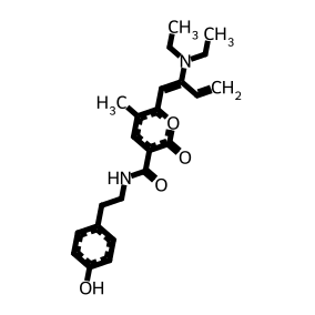 C=C/C(=C\c1oc(=O)c(C(=O)NCCc2ccc(O)cc2)cc1C)N(CC)CC